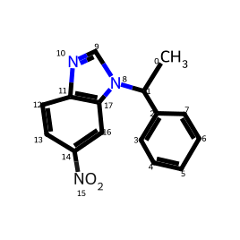 CC(c1ccccc1)n1cnc2ccc([N+](=O)[O-])cc21